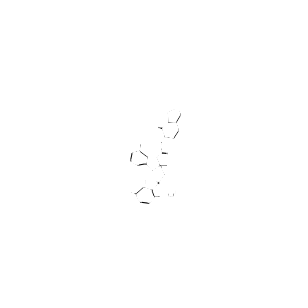 COc1ccc(F)cc1C(C)(C)CC(O)(CC(=O)NC1C=CC2=COCC2C1=O)Cc1cccc(F)c1